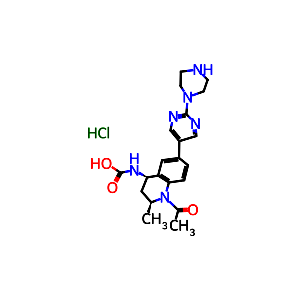 CC(=O)N1c2ccc(-c3cnc(N4CCNCC4)nc3)cc2[C@H](NC(=O)O)C[C@@H]1C.Cl